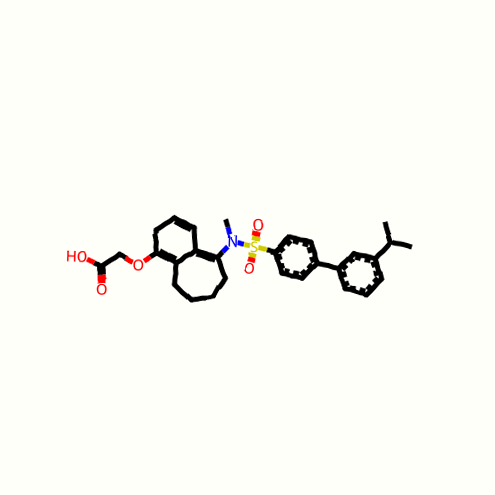 CC(C)c1cccc(-c2ccc(S(=O)(=O)N(C)C3=C4C=CCC(OCC(=O)O)=C4CCCC3)cc2)c1